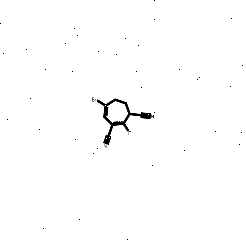 N#CC1=C(F)C(C#N)CCC(Br)=C1